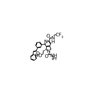 CC(C)NC(=O)N1Cc2cc(C(=O)NCC(F)(F)F)nc(-c3cccc(-c4cc5ccccc5o4)c3)c2[C@@H]1CCO